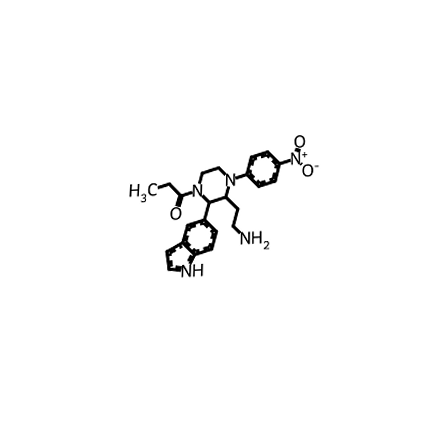 CCC(=O)N1CCN(c2ccc([N+](=O)[O-])cc2)C(CCN)C1c1ccc2[nH]ccc2c1